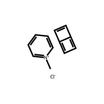 C[n+]1ccccc1.[Cl-].c1cc2ccc1-2